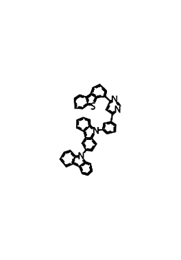 c1cc(-c2cc(-c3cccc4c3sc3ccccc34)ncn2)cc(-n2c3ccccc3c3cc(-n4c5ccccc5c5ccccc54)ccc32)c1